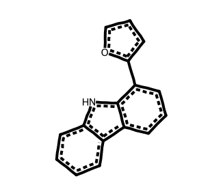 c1coc(-c2cccc3c2[nH]c2ccccc23)c1